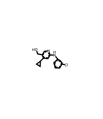 OCc1cnc(Nc2cccc(Cl)c2)cc1C1CC1